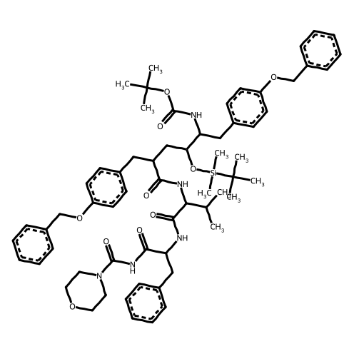 CC(C)C(NC(=O)C(Cc1ccc(OCc2ccccc2)cc1)CC(O[Si](C)(C)C(C)(C)C)C(Cc1ccc(OCc2ccccc2)cc1)NC(=O)OC(C)(C)C)C(=O)NC(Cc1ccccc1)C(=O)NC(=O)N1CCOCC1